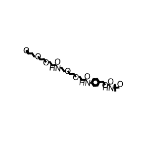 CC(C)(C=O)NC(=O)OCc1ccc(NC(=O)CCOCCOCCNC(=O)CCOCCOCCC=O)cc1